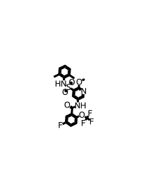 COc1ncc(NC(=O)c2cc(F)ccc2OC(F)(F)F)cc1S(=O)(=O)Nc1c(C)cccc1C